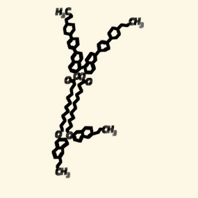 CCCc1ccc2cc(OCCCCCCCCCCCC(=O)Oc3ccc4cc(-c5ccc(C6CCC(CCC)CC6)cc5)ccc4c3-c3c(OC(=O)CCCCCCCCCCCOc4ccc5cc(CCC)ccc5c4)ccc4cc(-c5ccc(C6CCC(CCC)CC6)cc5)ccc34)ccc2c1